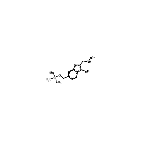 CCCNCc1nc2cc(CO[Si](C)(C)C(C)(C)C)ccc2n1CCC